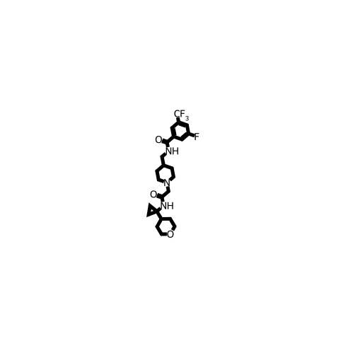 O=C(CN1CCC(CNC(=O)c2cc(F)cc(C(F)(F)F)c2)CC1)NC1(C2CCOCC2)CC1